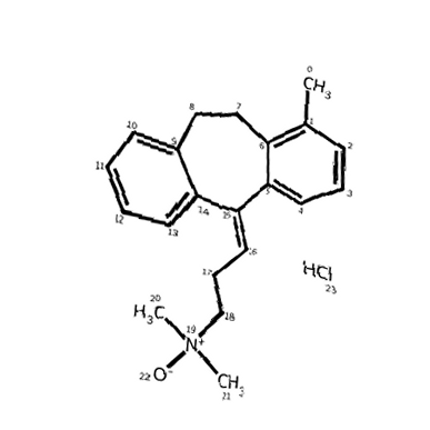 Cc1cccc2c1CCc1ccccc1C2=CCC[N+](C)(C)[O-].Cl